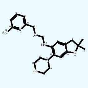 CC1(C)Cc2cc(NCOCc3cccc(C(F)(F)F)n3)c(N3CCOCC3)cc2O1